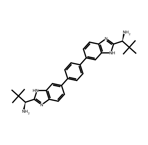 CC(C)(C)[C@H](N)c1nc2ccc(-c3ccc(-c4ccc5nc([C@@H](N)C(C)(C)C)[nH]c5c4)cc3)cc2[nH]1